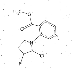 COC(=O)c1ccncc1N1CCC(F)C1Cl